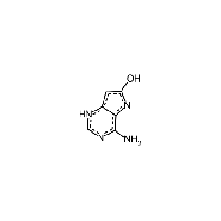 Nc1nc[nH]c2cc(O)nc1-2